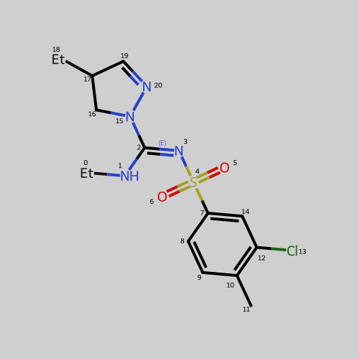 CCN/C(=N\S(=O)(=O)c1ccc(C)c(Cl)c1)N1CC(CC)C=N1